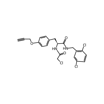 C#CCOc1ccc(C[C@H](NC(=O)CCl)C(=O)NCc2cc(Cl)ccc2Cl)cc1